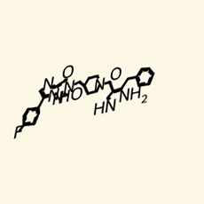 N=C/C(C(=O)N1CCC(O)(Cn2cnn3c(-c4ccc(F)cc4)cnc3c2=O)CC1)=C(\N)Cc1ccccc1